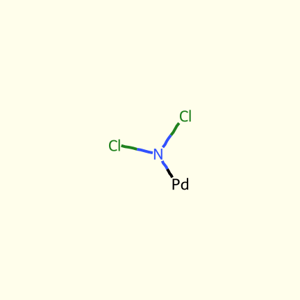 Cl[N](Cl)[Pd]